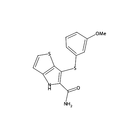 COc1cccc(Sc2c(C(N)=O)[nH]c3ccsc23)c1